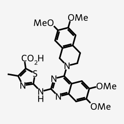 COc1cc2c(cc1OC)CN(c1nc(Nc3nc(C)c(C(=O)O)s3)nc3cc(OC)c(OC)cc13)CC2